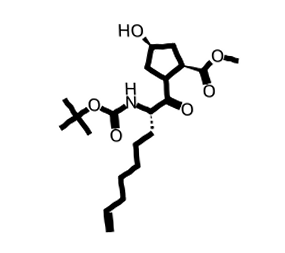 C=CCCCCC[C@H](NC(=O)OC(C)(C)C)C(=O)C1C[C@@H](O)C[C@H]1C(=O)OC